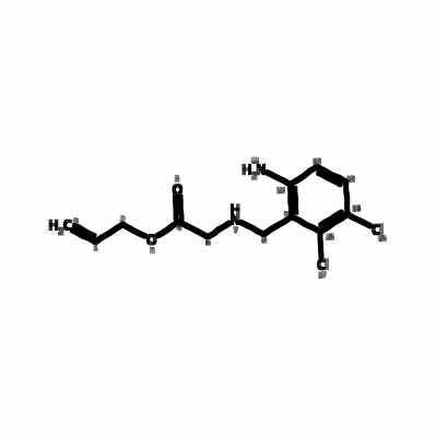 C=CCOC(=O)CNCc1c(N)ccc(Cl)c1Cl